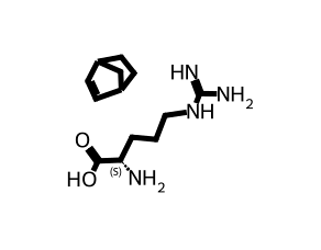 C1=CC2CCC1C2.N=C(N)NCCC[C@H](N)C(=O)O